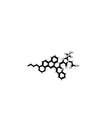 CCCCC1CCCc2c1ccc1c2cc(-c2cc3ccccc3nc2C=C2SC(S(=O)(=O)O)N(CC(=O)O)C2=O)c2ccccc21